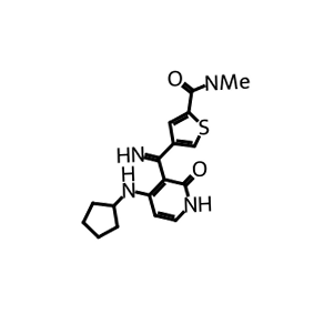 CNC(=O)c1cc(C(=N)c2c(NC3CCCC3)cc[nH]c2=O)cs1